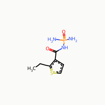 CCc1sccc1C(=O)NP(N)(N)=O